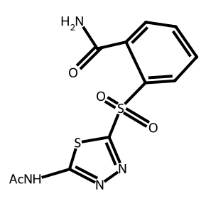 CC(=O)Nc1nnc(S(=O)(=O)c2ccccc2C(N)=O)s1